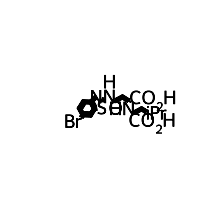 CC(C)CC(NC(CC(=O)Nc1nc2ccc(Br)cc2s1)C(=O)O)C(=O)O